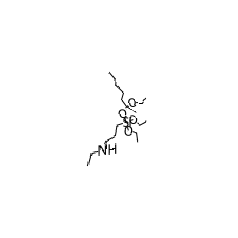 CCCCCC(C)(OCC)O[Si](CCCNCC)(OCC)OCC